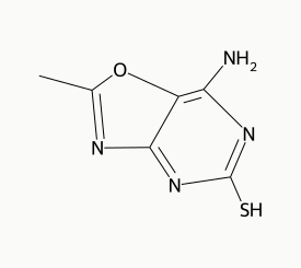 Cc1nc2nc(S)nc(N)c2o1